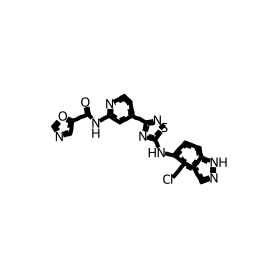 O=C(Nc1cc(-c2nsc(Nc3ccc4[nH]ncc4c3Cl)n2)ccn1)c1cnco1